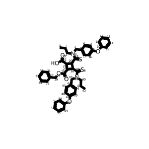 CCCN(Cc1ccc(Oc2ccccc2)cc1)C(=S)C1C(C(=O)O)C(C(=O)OCc2ccccc2)C1C(=S)N(CCC)Cc1ccc(Oc2ccccc2)cc1